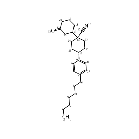 CCCCCCCc1ccc([C@H]2CC[C@@](C#N)([C@@H]3CCCC(=O)C3)CC2)cc1